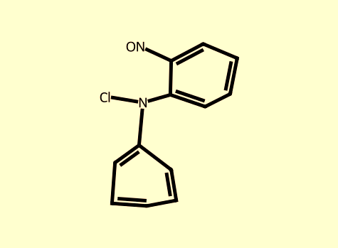 O=Nc1ccccc1N(Cl)c1ccccc1